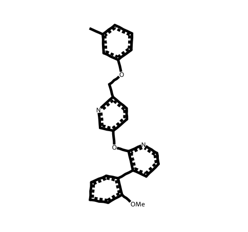 COc1ccccc1-c1cccnc1Oc1ccc(COc2cccc(C)c2)nc1